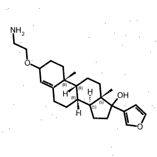 C[C@]12CCC(OCCN)C=C1CC[C@@H]1[C@H]2CC[C@@]2(C)[C@H]1CCC2(O)c1ccoc1